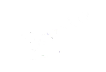 O=C(OCn1cn[n+](CC2(c3ccc(F)cc3)OC2c2ccccc2Cl)c1)Oc1ccccc1.[I-]